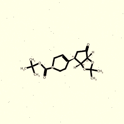 CC(C)(C)OC(=O)N1CC=C([C@H]2CC(=O)[C@@H]3OC(C)(C)O[C@H]23)CC1